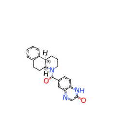 O=C(c1ccc2[nH]c(=O)cnc2c1)N1CCC[C@@H]2c3ccccc3CC[C@@H]21